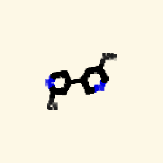 CSc1cncc(-c2ccnc(C#N)c2)c1